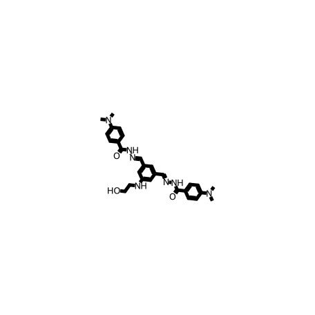 CN(C)c1ccc(C(=O)N/N=C/c2cc(/C=N/NC(=O)c3ccc(N(C)C)cc3)cc(NCCO)c2)cc1